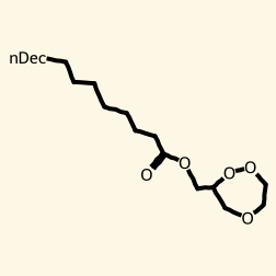 CCCCCCCCCCCCCCCCCC(=O)OCC1COCCOO1